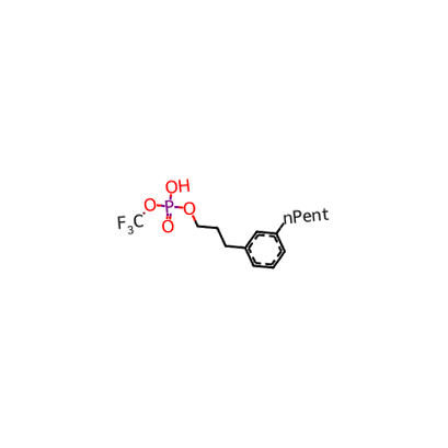 CCCCCc1cccc(CCCOP(=O)(O)OC(F)(F)F)c1